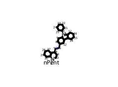 CCCCC[n+]1ccc(/C=C/c2ccc3c(c2)c2ccccc2n3-c2ccccc2)c2ccccc21